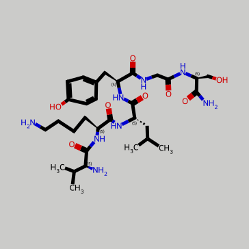 CC(C)C[C@H](NC(=O)[C@H](CCCCN)NC(=O)[C@@H](N)C(C)C)C(=O)N[C@@H](Cc1ccc(O)cc1)C(=O)NCC(=O)N[C@@H](CO)C(N)=O